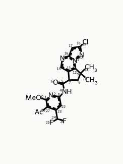 COc1nc(NC(=O)C2CC(C)(C)c3c2cnc2cc(Cl)nn32)cc(C(F)F)c1C(C)=O